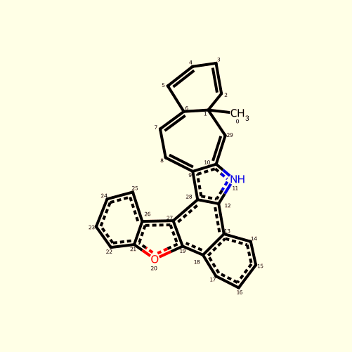 CC12C=CC=CC1=CC=c1c([nH]c3c4ccccc4c4oc5ccccc5c4c13)=C2